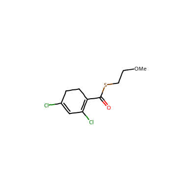 COCCSC(=O)C1=C(Cl)C=C(Cl)CC1